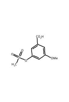 COc1cc(OS(C)(=O)=O)cc(C(=O)O)c1